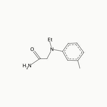 CCN(CC(N)=O)c1cccc(C)c1